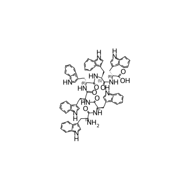 N[C@@H](Cc1c[nH]c2ccccc12)C(=O)N[C@H](Cc1c[nH]c2ccccc12)C(=O)N[C@@H](Cc1c[nH]c2ccccc12)C(=O)N[C@H](Cc1c[nH]c2ccccc12)C(=O)N[C@@H](Cc1c[nH]c2ccccc12)C(=O)N[C@H](Cc1c[nH]c2ccccc12)C(=O)O